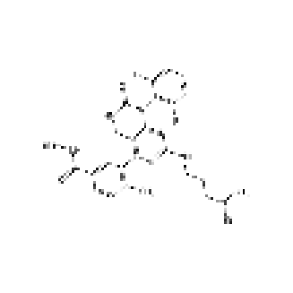 BN(CC)CCCNc1nc(-c2cc(C(=O)NCCC)ccc2C)c2c(n1)N(c1c(F)cccc1F)C(=O)NC2